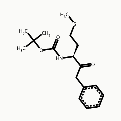 CSCC[C@H](NC(=O)OC(C)(C)C)C(=O)Cc1ccccc1